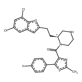 Cc1nc(C(=O)N2CCNC[C@@H]2CCc2cc3cc(Cl)cc(Cl)c3o2)c(-c2ccc(F)cc2)s1